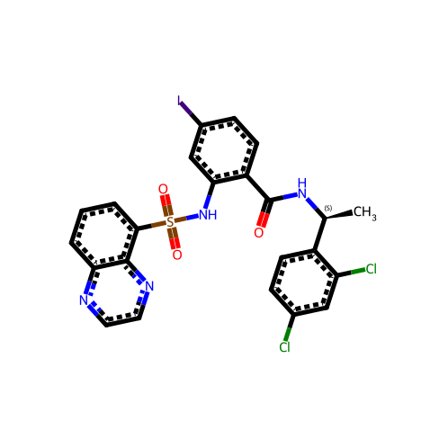 C[C@H](NC(=O)c1ccc(I)cc1NS(=O)(=O)c1cccc2nccnc12)c1ccc(Cl)cc1Cl